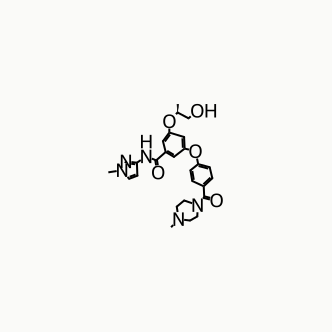 C[C@@H](CO)Oc1cc(Oc2ccc(C(=O)N3CCN(C)CC3)cc2)cc(C(=O)Nc2ccn(C)n2)c1